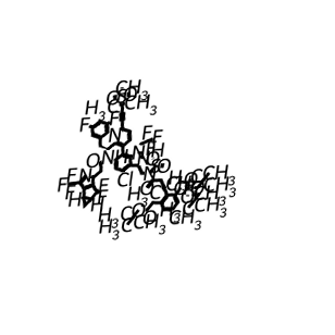 Cc1cc(CC(=O)OC(C)(C)C)c(C(C)(C)CC(=O)N(Cc2nn(CC(F)(F)F)c3c(-c4ccc(C#CC(C)(C)S(C)(=O)=O)nc4[C@H](Cc4cc(F)cc(F)c4)NC(=O)CC4N=C(C(F)(F)F)C5=C4C(F)(F)[C@@H]4C[C@H]54)ccc(Cl)c23)[SH](=O)=O)c(OP(=O)(OC(C)(C)C)OC(C)(C)C)c1